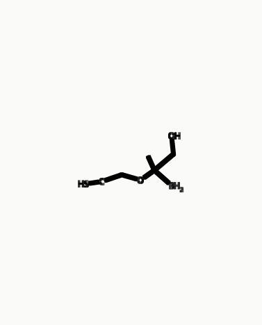 BC(C)(CO)OCCS